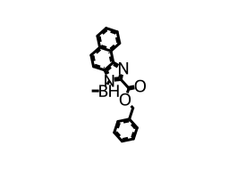 CBn1c(C(=O)OCc2ccccc2)nc2c3ccccc3ccc21